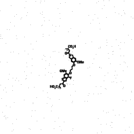 COc1cc2c(cc1OCCCOc1c(OC)cc3sc(C(=O)C[C@H](C)C(=O)O)cc3c1F)CN(C(=O)C[C@H](C)C(=O)O)C2